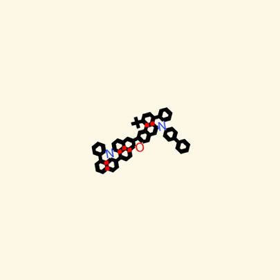 CC(C)(C)c1ccc(-c2ccccc2N(c2ccc(-c3ccccc3)cc2)c2ccc3cc4c(cc3c2)oc2cc3cc(N(c5ccccc5-c5ccccc5)c5ccccc5-c5ccccc5)ccc3cc24)cc1